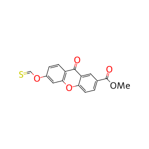 COC(=O)c1ccc2oc3cc(OC=S)ccc3c(=O)c2c1